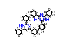 C1=C(c2ccccc2)NC(c2ccccc2)N=C1c1cccc(-c2cccc(C3NC(c4ccccc4)=NC(c4ccccc4)N3)c2)c1